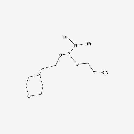 CC(C)N(C(C)C)P(OCCC#N)OCCN1CCOCC1